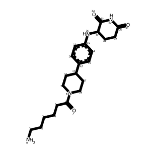 NCCCCCC(=O)N1CCC(c2ccc(NC3CCC(=O)NC3=O)cc2)CC1